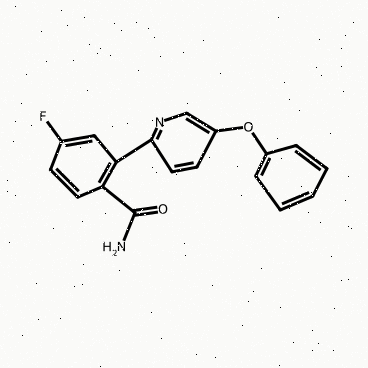 NC(=O)c1ccc(F)cc1-c1ccc(Oc2ccccc2)cn1